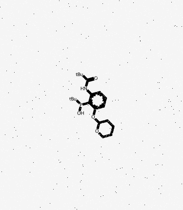 CC(C)(C)C(=O)Nc1cccc(OC2CCCCO2)c1P(O)C(C)(C)C